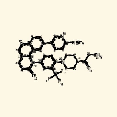 [C-]#[N+]c1ccc(-c2ccc3ncc4ccc(=O)n(-c5ccc(N6CCN(C(=O)CC)CC6)c(C(F)(F)F)c5)c4c3c2)cn1